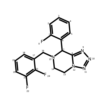 Fc1ccccc1C1c2nnnn2CCN1Cc1cccc(F)c1F